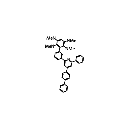 CNc1cc(NC)c(NC)c(-c2cccc(-c3cc(-c4ccc(-c5ccccc5)cc4)cc(-c4ccccc4)n3)c2)c1NC